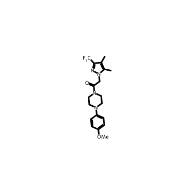 COc1ccc(N2CCN(C(=O)Cn3nc(C(F)(F)F)c(C)c3C)CC2)cc1